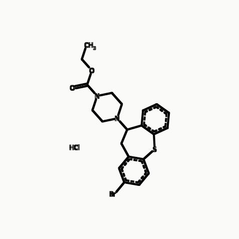 CCOC(=O)N1CCN(C2Cc3cc(Br)ccc3Sc3ccccc32)CC1.Cl